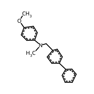 COc1ccc(N(C)Cc2ccc(-c3ccccc3)cc2)cc1